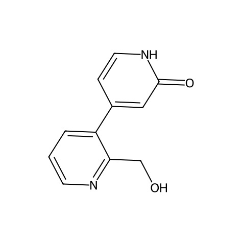 O=c1cc(-c2cccnc2CO)cc[nH]1